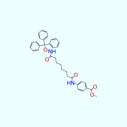 COC(=O)c1ccc(NC(=O)CCCCCCC(=O)NOC(c2ccccc2)(c2ccccc2)c2ccccc2)cc1